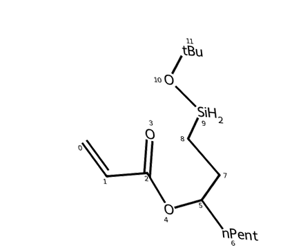 C=CC(=O)OC(CCCCC)CC[SiH2]OC(C)(C)C